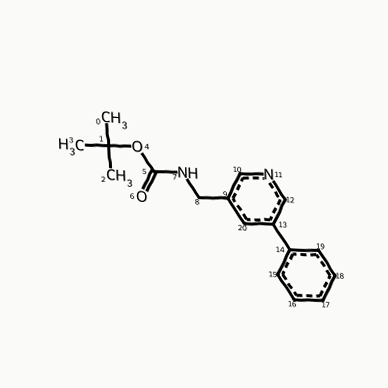 CC(C)(C)OC(=O)NCc1cncc(-c2ccccc2)c1